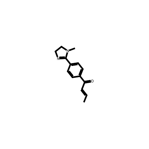 C/C=C/C(=O)c1ccc(C2=NCCN2C)cc1